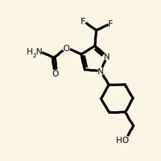 NC(=O)Oc1cn(C2CCC(CO)CC2)nc1C(F)F